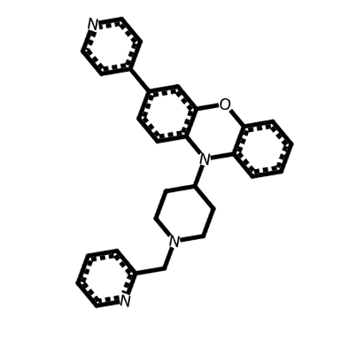 c1ccc(CN2CCC(N3c4ccccc4Oc4cc(-c5ccncc5)ccc43)CC2)nc1